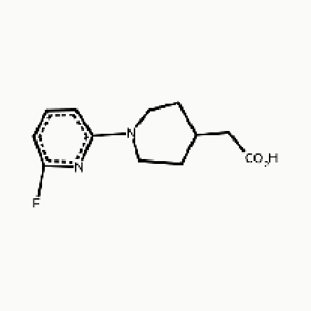 O=C(O)CC1CCN(c2cccc(F)n2)CC1